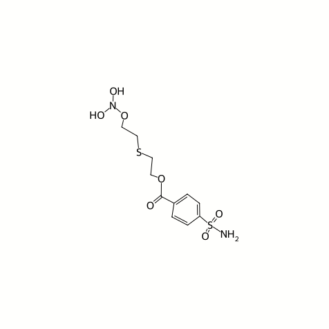 NS(=O)(=O)c1ccc(C(=O)OCCSCCON(O)O)cc1